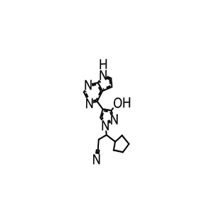 N#CCC(C1CCCC1)n1cc(-c2ncnc3[nH]ccc23)c(O)n1